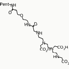 CCCCCNC(=O)CCOCCNC(=O)CNCCN(CCN(CCNCC(=O)O)CC(=O)O)CC(=O)O